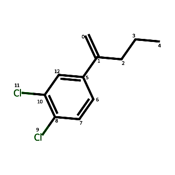 C=C(CCC)c1ccc(Cl)c(Cl)c1